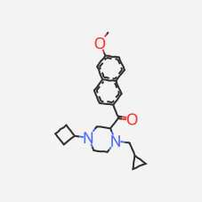 COc1ccc2cc(C(=O)C3CN(C4CCC4)CCN3CC3CC3)ccc2c1